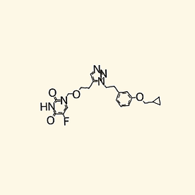 O=c1[nH]c(=O)n(COCCc2cnnn2CCc2cccc(OCC3CC3)c2)cc1F